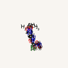 CC(C)(C)OC(=O)N1CCN(c2ccc3c(=O)n(-c4ccc(OC(F)(F)F)c(NC(=O)C5(N6CC7CC(C6)O7)CC5)c4)cnc3c2)CC1